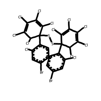 ClC1=C(Cl)C(Cl)C(SSC2(c3ccc(Br)cc3Cl)C(Cl)=C(Cl)C(Cl)=C(Cl)C2Cl)(c2ccc(Br)cc2Cl)C(Cl)=C1Cl